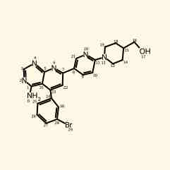 Nc1ncnc2nc(-c3ccc(N4CCC(CO)CC4)nc3)cc(-c3cccc(Br)c3)c12